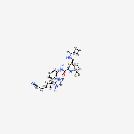 C[C@H](NCc1cc(C(=O)Nc2cccc(C3(c4nncn4C)CC(CC#N)C3)c2)nc2c1CCC2(C)C)C1CCC1